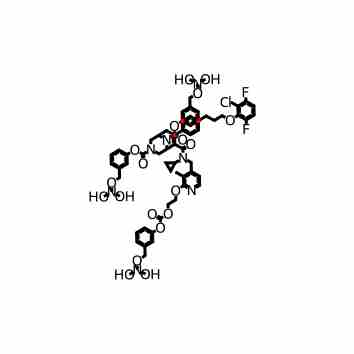 Cc1c(CN(C(=O)C2=C(c3ccc(CCCOc4c(F)ccc(F)c4Cl)cc3)CC3CN(C(=O)Oc4cccc(CON(O)O)c4)CC2N3C(=O)Oc2cccc(CON(O)O)c2)C2CC2)ccnc1OCCOC(=O)Oc1cccc(CON(O)O)c1